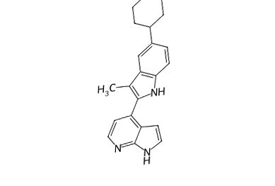 Cc1c(-c2ccnc3[nH]ccc23)[nH]c2ccc(C3CCNCC3)cc12